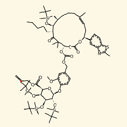 C=CCOC(=O)[C@H]1O[C@@H](Oc2ccc(COC(=O)O[C@H]3CC(=O)O[C@H](c4ccc5sc(C)nc5c4)CC=C(C)CCC[C@H](C)[C@H](O[Si](C)(C)C(C)(C)C)[C@@H](CCCCC)C(=O)C3(C)C)cc2OC)[C@H](O[Si](C)(C)C(C)(C)C)[C@@H](O[Si](C)(C)C(C)(C)C)[C@H]1O[Si](C)(C)C(C)(C)C